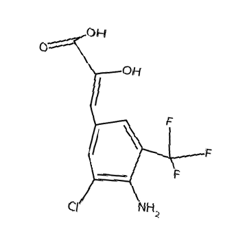 Nc1c(Cl)cc(/C=C(\O)C(=O)O)cc1C(F)(F)F